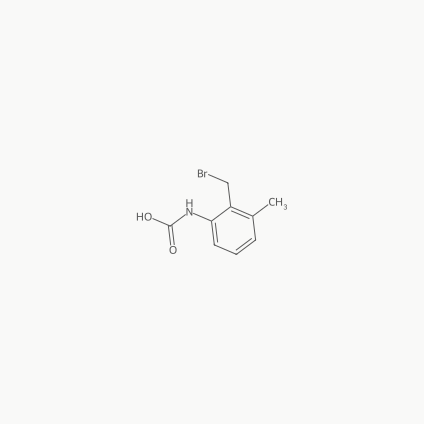 Cc1cccc(NC(=O)O)c1CBr